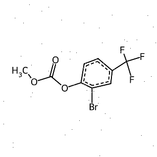 COC(=O)Oc1ccc(C(F)(F)F)cc1Br